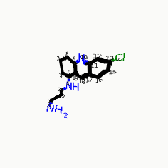 NCCCNC1CCCc2nc3cc(Cl)ccc3cc21